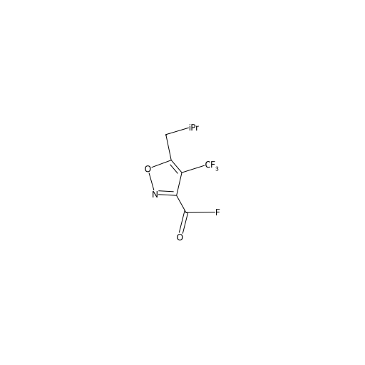 CC(C)Cc1onc(C(=O)F)c1C(F)(F)F